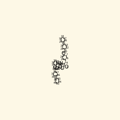 COC(=O)C(Cc1ccc(OCc2ccc(-c3ccccc3)cc2)cc1)NC(=O)c1ccccc1OCc1ccc(-c2ccccc2)cc1